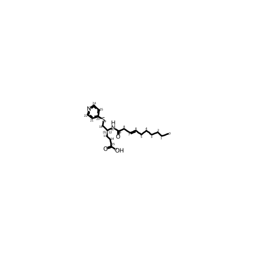 CCCCCCC=CCC(=O)N[C@@H](CCC(=O)O)CSc1ccncc1